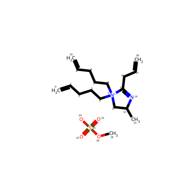 C=CCCC[N+]1(CCCC=C)CC(C)N=C1CC=C.COS(=O)(=O)[O-]